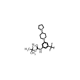 CC(C)(C)OC(=O)Nc1cc(N2CCC(N3CCCC3)CC2)cc(C(F)(F)F)c1